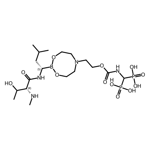 CN[C@@H](C(=O)N[C@H](CC(C)C)B1OCCN(CCOC(=O)NC(P(=O)(O)O)P(=O)(O)O)CCO1)C(C)O